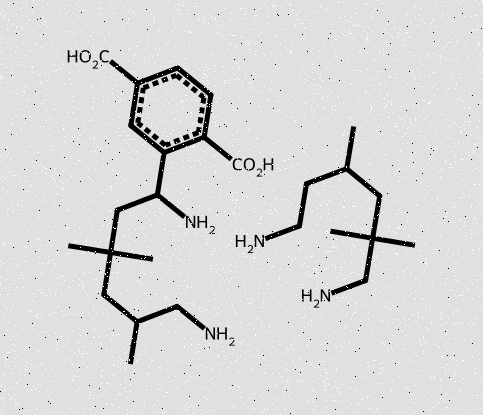 CC(CCN)CC(C)(C)CN.CC(CN)CC(C)(C)CC(N)c1cc(C(=O)O)ccc1C(=O)O